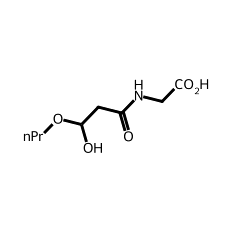 CCCOC(O)CC(=O)NCC(=O)O